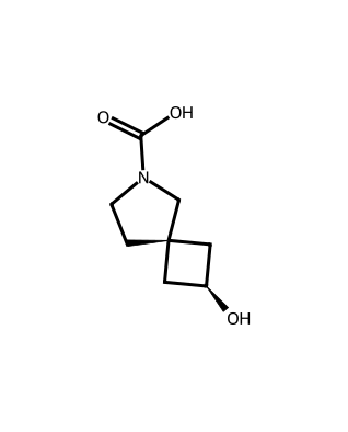 O=C(O)N1CC[C@]2(C1)C[C@H](O)C2